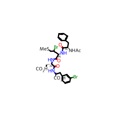 CSCC(Br)[C@H](NC(=O)[C@H](Cc1ccccc1)NC(C)=O)C(=O)N[C@@H](CC(=O)O)C(=O)N[C@@H](Cc1cccc(Br)c1)C(=O)O